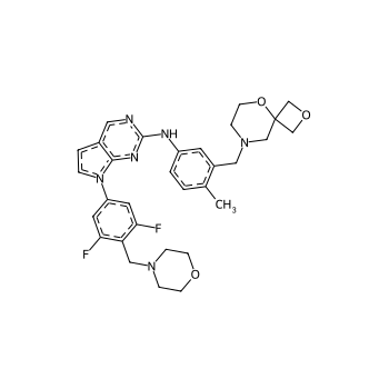 Cc1ccc(Nc2ncc3ccn(-c4cc(F)c(CN5CCOCC5)c(F)c4)c3n2)cc1CN1CCOC2(COC2)C1